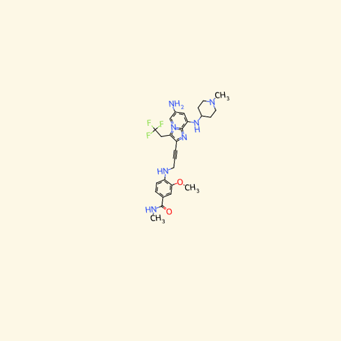 CNC(=O)c1ccc(NCC#Cc2nc3c(NC4CCN(C)CC4)cc(N)cn3c2CC(F)(F)F)c(OC)c1